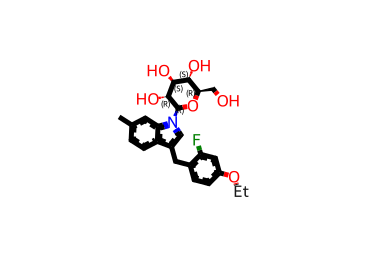 CCOc1ccc(Cc2cn([C@@H]3O[C@H](CO)[C@@H](O)[C@H](O)[C@H]3O)c3cc(C)ccc23)c(F)c1